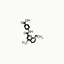 CCN1CCCc2c(C)cc(C(=O)Nc3ccc(C(=O)O)cc3)nc21